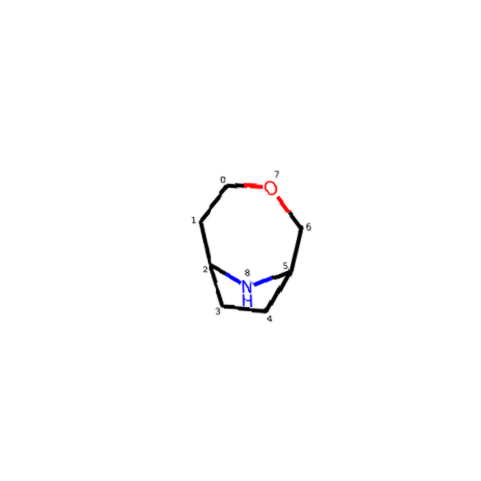 C1CC2CCC(CO1)N2